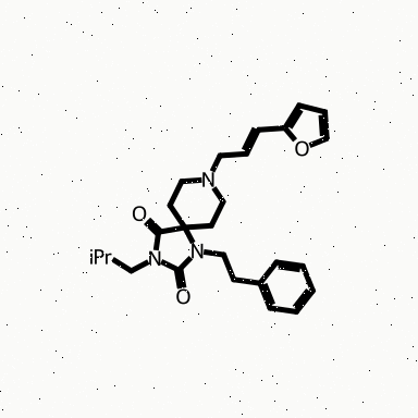 CC(C)CN1C(=O)N(CCc2ccccc2)C2(CCN(C/C=C/c3ccco3)CC2)C1=O